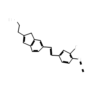 CCCC1=Cc2ccc(/C=C/c3ccc(N=C=S)c(F)c3)cc2C1